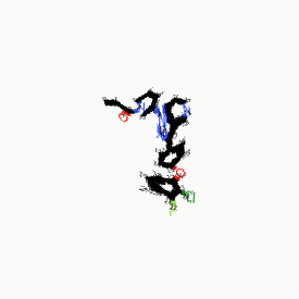 C=CC(=O)N1CCCC(n2nc(-c3ccc(Oc4cccc(F)c4Cl)cc3)c3cnccc32)C1